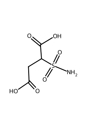 NS(=O)(=O)C(CC(=O)O)C(=O)O